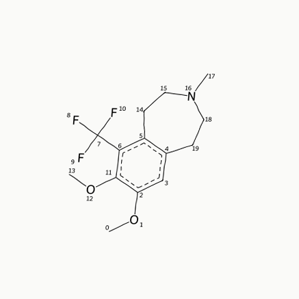 COc1cc2c(c(C(F)(F)F)c1OC)CCN(C)CC2